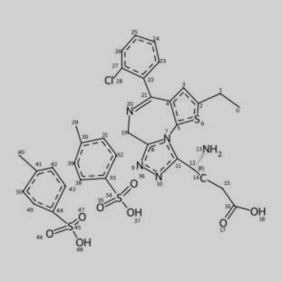 CCc1cc2c(s1)-n1c(nnc1[C@H](N)CCC(=O)O)CN=C2c1ccccc1Cl.Cc1ccc(S(=O)(=O)O)cc1.Cc1ccc(S(=O)(=O)O)cc1